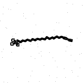 C#CC#CCCCCCCCCCCCCCCCCCCC[Si](Cl)(Cl)Cl